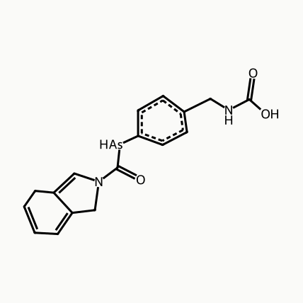 O=C(O)NCc1ccc([AsH]C(=O)N2C=C3CC=CC=C3C2)cc1